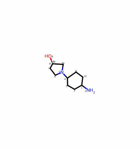 NC1CCC(N2CC[C@@H](O)C2)CC1